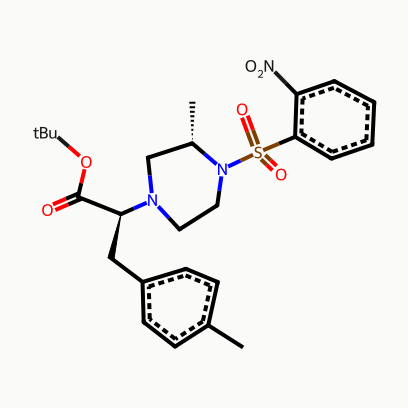 Cc1ccc(C[C@@H](C(=O)OC(C)(C)C)N2CCN(S(=O)(=O)c3ccccc3[N+](=O)[O-])[C@@H](C)C2)cc1